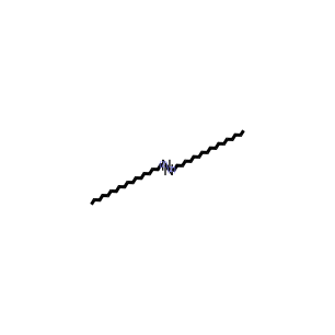 CCCCCCCCCCCCCCCCC/C=N\N=C/CCCCCCCCCCCCCCCCC